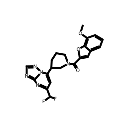 COc1cccc2cc(C(=O)N3CCCC(c4cc(C(F)F)nc5ncnn45)C3)oc12